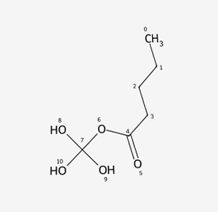 CCCCC(=O)OC(O)(O)O